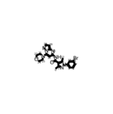 Cc1nn(-c2cccc(Br)c2)c(C)c1C(=O)Nc1cc(N2CCOCC2)n2nccc2n1